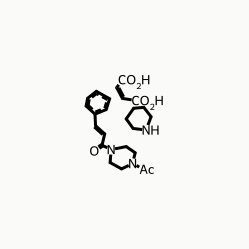 C1CCNCC1.CC(=O)N1CCN(C(=O)C=Cc2ccccc2)CC1.O=C(O)/C=C\C(=O)O